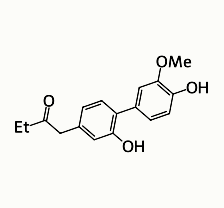 CCC(=O)Cc1ccc(-c2ccc(O)c(OC)c2)c(O)c1